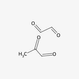 CC(=O)C=O.O=CC=O